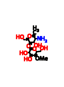 CO[C@@H]1C(CO)O[C@@H](O[C@H]2C(O)C(N)[C@H](C)O[C@H]2CO)C(O)[C@H]1O